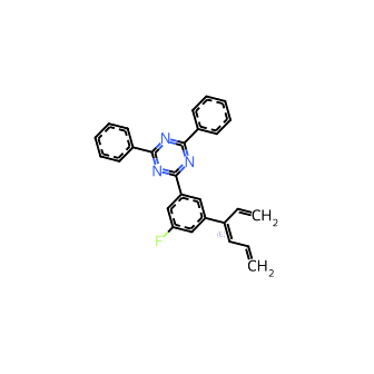 C=C/C=C(\C=C)c1cc(F)cc(-c2nc(-c3ccccc3)nc(-c3ccccc3)n2)c1